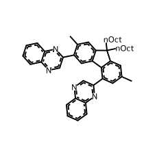 CCCCCCCCC1(CCCCCCCC)c2cc(C)c(-c3cnc4ccccc4n3)cc2-c2c(-c3cnc4ccccc4n3)cc(C)cc21